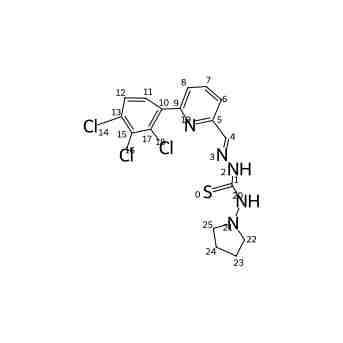 S=C(NN=Cc1cccc(-c2ccc(Cl)c(Cl)c2Cl)n1)NN1CCCC1